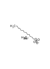 CCCCCCCCCCCCCOS(=O)(=O)[O-].O.[Na+]